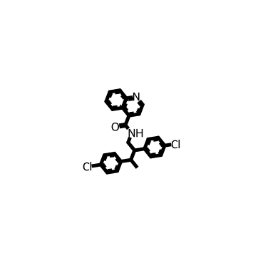 CC(c1ccc(Cl)cc1)C(CNC(=O)c1ccnc2ccccc12)c1ccc(Cl)cc1